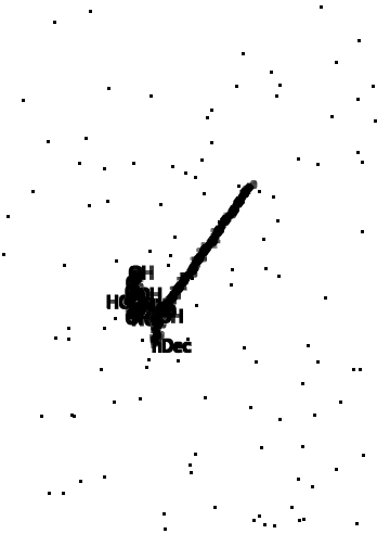 CC#CC#CC#CC#CC#CC#CC#CC#CC#CC#CC#CC#CC(=O)N[C@@H](COC1OC(CO)C(O)C(OSOOO)C1O)[C@H](O)C(O)CCCCCCCCCCCCCC